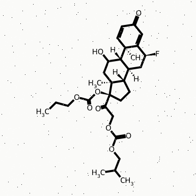 CCCOC(=O)O[C@]1(C(=O)COC(=O)OCC(C)C)CC[C@H]2[C@@H]3C[C@H](F)C4=CC(=O)C=C[C@]4(C)[C@H]3C(O)C[C@@]21C